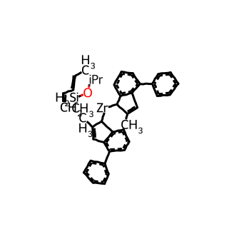 C=CC=CC.CC1=Cc2c(-c3ccccc3)cccc2[CH]1[Zr][CH]1C(C)=Cc2c(-c3ccccc3)cccc21.C[SiH2]OC(C)C